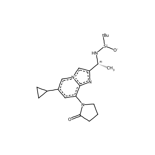 C[C@@H](N[S+]([O-])C(C)(C)C)c1cn2cc(C3CC3)cc(N3CCCC3=O)c2n1